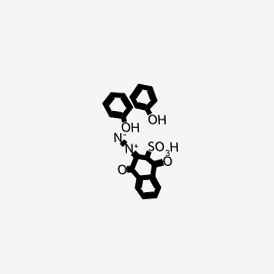 Oc1ccccc1.Oc1ccccc1.[N-]=[N+]=C1C(=O)c2ccccc2C(=O)C1S(=O)(=O)O